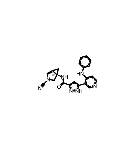 N#CN1C=C2C[C@]2(NC(=O)c2cc(-c3cnccc3Nc3ccccc3)[nH]n2)C1